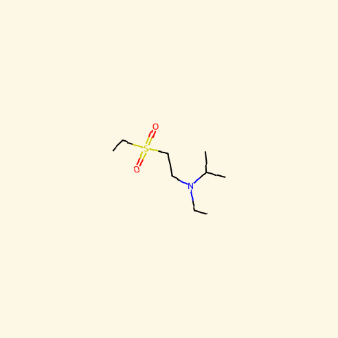 CCN(CCS(=O)(=O)CC)C(C)C